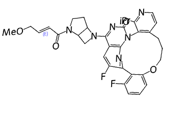 COC/C=C/C(=O)N1CCC2C1CN2c1nc(=O)n2c3nc(c(F)cc13)-c1c(F)cccc1OCCCc1ccnc(C(C)C)c1-2